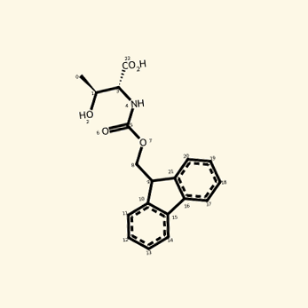 C[C@H](O)[C@@H](NC(=O)OCC1c2ccccc2-c2ccccc21)C(=O)O